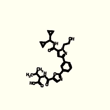 CC(C)C(NC(=O)c1cnc(-c2cccc(-c3cc(C(=O)NC(C4CC4)C4CC4)n(CCO)n3)c2)o1)C(=O)O